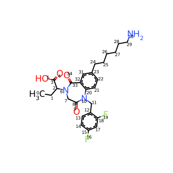 CCC(C(=O)O)N1CC(=O)N(Cc2ccc(F)cc2F)c2ccc(CCCCCCN)cc2C1=O